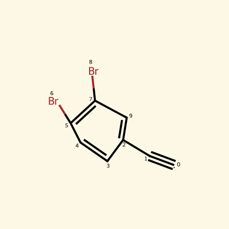 [C]#Cc1ccc(Br)c(Br)c1